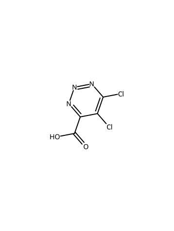 O=C(O)c1nnnc(Cl)c1Cl